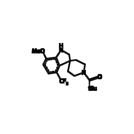 COc1ccc(C(F)(F)F)c2c1NCC21CCN(C(=O)C(C)(C)C)CC1